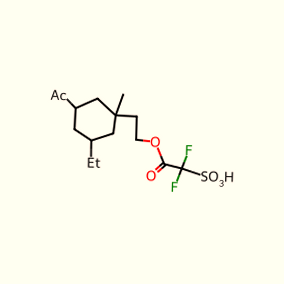 CCC1CC(C(C)=O)CC(C)(CCOC(=O)C(F)(F)S(=O)(=O)O)C1